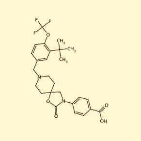 CC(C)(C)c1cc(CN2CCC3(CC2)CN(c2ccc(C(=O)O)cc2)C(=O)O3)ccc1OC(F)(F)F